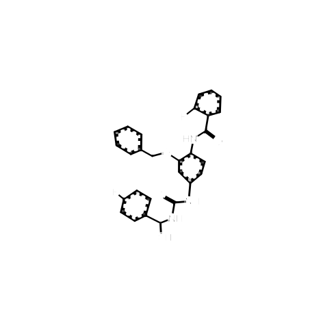 CC(NC(=S)Nc1ccc(NC(=O)c2ccccc2F)c(OCc2ccccc2)c1)c1ccc(F)cc1